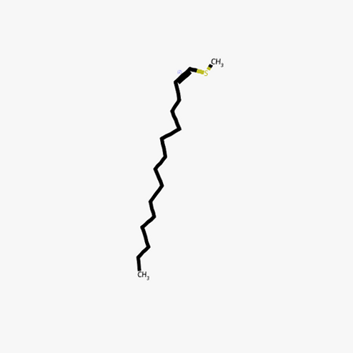 CCCCCCCCCCCCC/C=[C]\SC